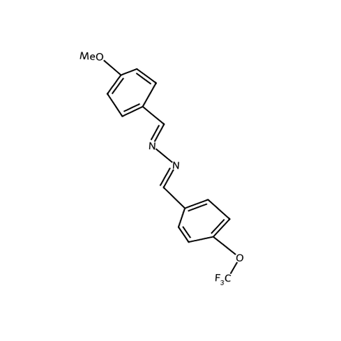 COc1ccc(C=NN=Cc2ccc(OC(F)(F)F)cc2)cc1